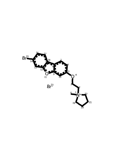 C[N+]1(CCOc2ccc3c(c2)oc2cc(Br)ccc23)CCCC1.[Br-]